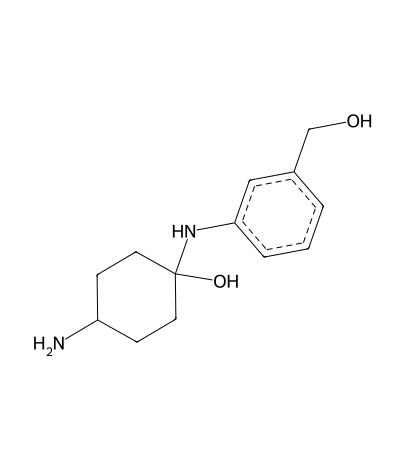 NC1CCC(O)(Nc2cccc(CO)c2)CC1